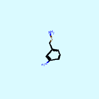 NSCc1cccc(N)c1